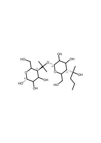 CCCC(C)(O)[C@@H]1C(CO)O[C@H](OC(C)(C)[C@@H]2C(CO)O[C@@H](O)C(O)C2O)C(O)C1O